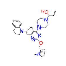 C=CC(O)N1CCN(c2nc(OC[C@@H]3CCCN3C)nc3c2CCC(N2CCCc4ccccc42)C3)CC1